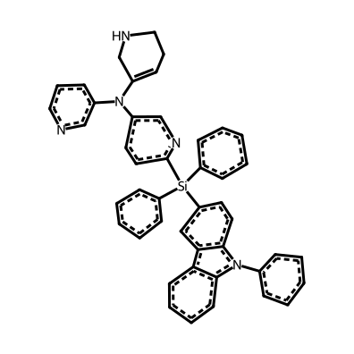 C1=C(N(c2cccnc2)c2ccc([Si](c3ccccc3)(c3ccccc3)c3ccc4c(c3)c3ccccc3n4-c3ccccc3)nc2)CNCC1